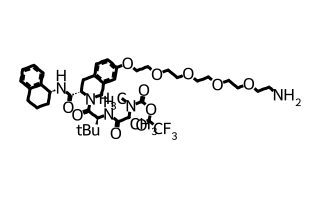 C[C@@H](C(=O)N[C@H](C(=O)N1Cc2cc(OCCOCCOCCOCCOCCN)ccc2C[C@H]1C(=O)N[C@@H]1CCCc2ccccc21)C(C)(C)C)N(C)C(=O)OC(=O)C(F)(F)F